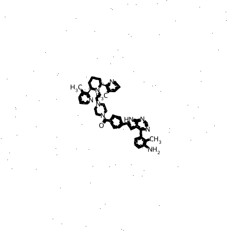 Cc1cccnc1[C@H]1CCC[C@@H](c2ncccc2C)N1CCN1CCN(C(=O)c2ccc(-c3cc4c(-c5cccc(N)c5C)ncnc4[nH]3)cc2)CC1